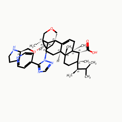 CC(C)[C@@H](C)[C@@]1(C)CC[C@]2(C)[C@H]3CC[C@@H]4[C@@]5(COC[C@]4(C)[C@@H](OC[C@H]4CCCN4)[C@H](n4ncnc4-c4ccncc4)C5)C3=CC[C@@]2(C)[C@@H]1C(=O)O